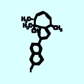 CC1/C=C\C=C/[C@@H](C)C(C)(C)C2CC(c3ccc4cc(I)ccc4c3)=CC=C12